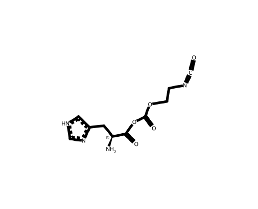 N[C@@H](Cc1c[nH]cn1)C(=O)OC(=O)OCCN=C=O